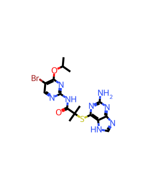 CC(C)Oc1nc(NC(=O)C(C)(C)Sc2nc(N)nc3nc[nH]c23)ncc1Br